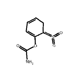 NC(=O)OC1=CC=CCC1=S(=O)=O